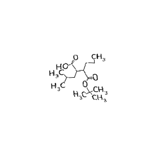 CCCC(C(=O)OC(C)(C)C)C(CC(C)C)C(=O)O